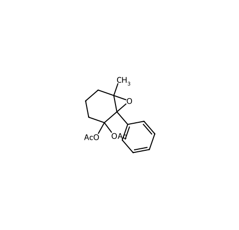 CC(=O)OC1(OC(C)=O)CCCC2(C)OC21c1ccccc1